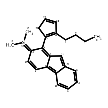 CCCCC1=C(c2c3c(ccc2=[Si](C)C)=c2ccccc2=[C]3)CC=C1